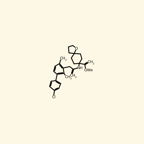 C=C(Cc1c(C)ccc(-c2ccc(Cl)cc2)c1C)NC1(C(=C)OC)CCC2(CCCO2)CC1